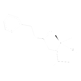 CC(C)N(CC(=O)OCc1ccccc1)[C@@](C)(N)I